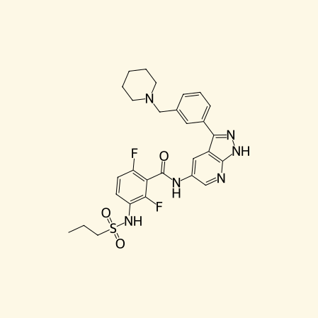 CCCS(=O)(=O)Nc1ccc(F)c(C(=O)Nc2cnc3[nH]nc(-c4cccc(CN5CCCCC5)c4)c3c2)c1F